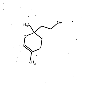 CC1=COC(C)(CCO)CC1